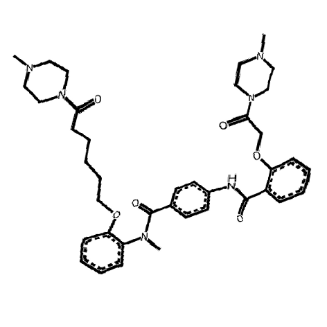 CN1CCN(C(=O)CCCCCOc2ccccc2N(C)C(=O)c2ccc(NC(=O)c3ccccc3OCC(=O)N3CCN(C)CC3)cc2)CC1